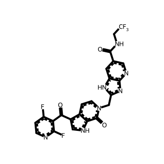 O=C(NCC(F)(F)F)c1cnc2nc(Cn3ccc4c(C(=O)c5c(F)ccnc5F)c[nH]c4c3=O)[nH]c2c1